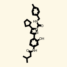 Cc1ccc(CNC(=O)n2nc(-c3ccc(NC(=O)CC(C)C)cc3O)cc2C2CCCC2)cc1